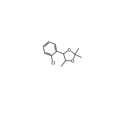 [CH2]C1OC(C)(C)OC1c1ccccc1Cl